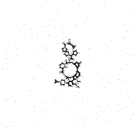 CCn1c(-c2cc(N3CCN(C4CC4)CC3)cnc2[C@H](C)OC)c2c3cc(ccc31)-c1cc(F)cc(c1)C[C@H](NC(=O)C(C1CCCC1)N1CC[C@]3(CCN(C(=O)[C@@H]4NC4C4CC4)C3)C1)C(=O)N1CCC[C@H](N1)C(=O)OCC(C)(C)C2